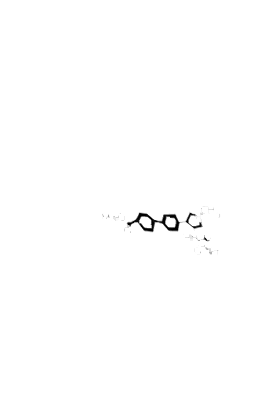 COC(=O)c1ccc(-c2ccc([C@H]3CN(C)C[C@@H]3NS(=O)(=O)C(C)C)cc2)cc1